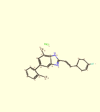 Cl.FC1=CCC(C=Cc2nc3cc(-c4ccccc4C(F)(F)F)cc(C(F)(F)F)c3[nH]2)CC1